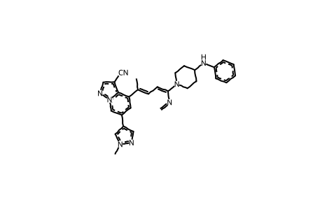 C=N/C(=C\C=C(/C)c1cc(-c2cnn(C)c2)cn2ncc(C#N)c12)N1CCC(Nc2ccccc2)CC1